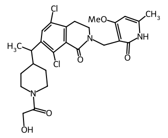 COc1cc(C)[nH]c(=O)c1CN1CCc2c(Cl)cc(C(C)C3CCN(C(=O)CO)CC3)c(Cl)c2C1=O